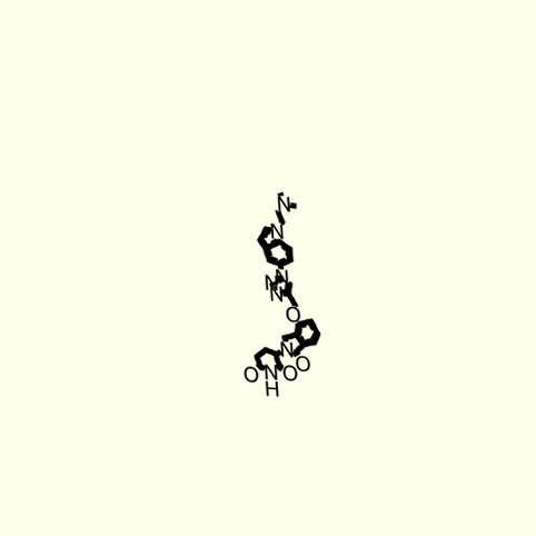 CN(C)CCn1ccc2cc(-n3cc(COc4cccc5c4CN(C4CCC(=O)NC4=O)C5=O)nn3)ccc21